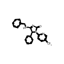 O=C1N=C(NCc2ccccc2)C(c2ccccc2)N1c1ccc(C(F)(F)F)cn1